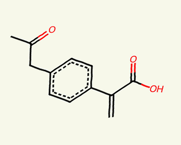 C=C(C(=O)O)c1ccc(CC(C)=O)cc1